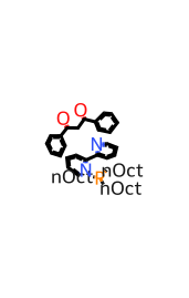 CCCCCCCCP(CCCCCCCC)CCCCCCCC.O=C(CC(=O)c1ccccc1)c1ccccc1.c1ccc(-c2ccccn2)nc1